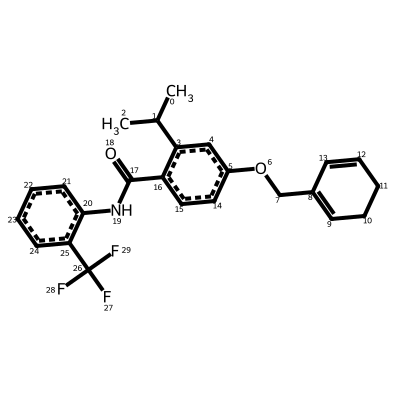 CC(C)c1cc(OCC2=CCCC=C2)ccc1C(=O)Nc1ccccc1C(F)(F)F